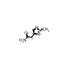 Cn1ncc(CC(N)=O)n1